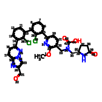 COc1nc(-c2cccc(-c3cccc(-c4ccc5nc(C=O)cn5n4)c3Cl)c2Cl)ccc1CN(C[C@@H]1CCC(=O)N1)C(=O)O